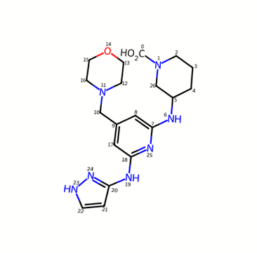 O=C(O)N1CCCC(Nc2cc(CN3CCOCC3)cc(Nc3cc[nH]n3)n2)C1